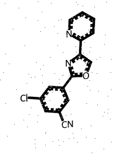 N#Cc1cc(Cl)cc(-c2nc(-c3ccccn3)co2)c1